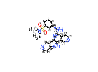 CN(C)S(=O)(=O)c1cccc(Nc2nc3c4cnccc4[nH]c3c3cnccc23)c1